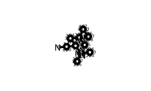 N#Cc1ccc(-c2cc(-c3nc(-c4ccccc4)nc(-c4ccccc4)n3)ccc2-c2ccccc2-c2cc(-c3ccccc3-c3ccccc3)nc(-c3ccccc3)n2)cc1